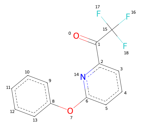 O=C(c1cccc(Oc2ccccc2)n1)C(F)(F)F